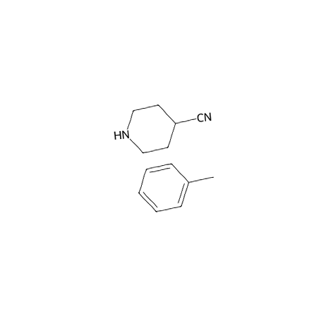 Cc1ccccc1.N#CC1CCNCC1